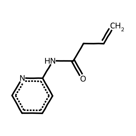 C=CCC(=O)Nc1ccccn1